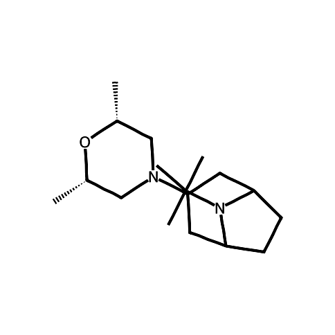 C[C@@H]1CN(C2CC3CCC(C2)N3C(C)(C)C)C[C@H](C)O1